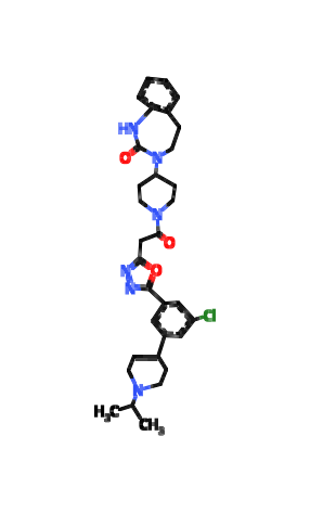 CC(C)N1CC=C(c2cc(Cl)cc(-c3nnc(CC(=O)N4CCC(N5CCc6ccccc6NC5=O)CC4)o3)c2)CC1